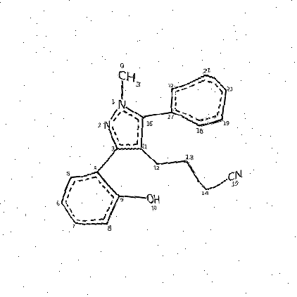 Cn1nc(-c2ccccc2O)c(CCCC#N)c1-c1ccccc1